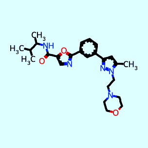 Cc1cc(-c2cccc(-c3ncc(C(=O)NC(C)C(C)C)o3)c2)nn1CCN1CCOCC1